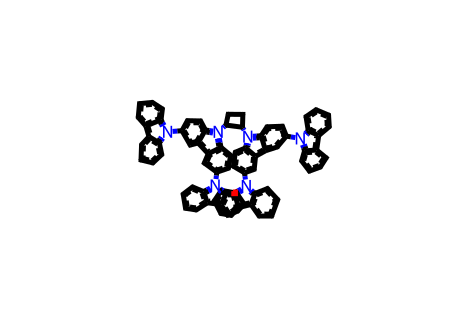 c1ccc2c(c1)c1ccccc1n2-c1ccc2c(c1)c1cc(-n3c4ccccc4c4ccccc43)ccc1n2C1CCC1n1c2ccc(-n3c4ccccc4c4ccccc43)cc2c2cc(-n3c4ccccc4c4ccccc43)ccc21